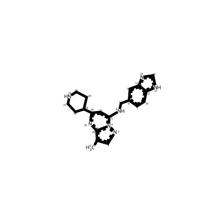 Cc1cnn2c(NCc3ccc4[nH]cnc4c3)cc(C3CCNCC3)nc12